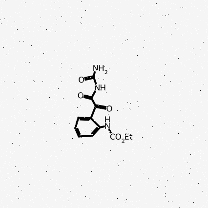 CCOC(=O)Nc1ccccc1C(=O)C(=O)NC(N)=O